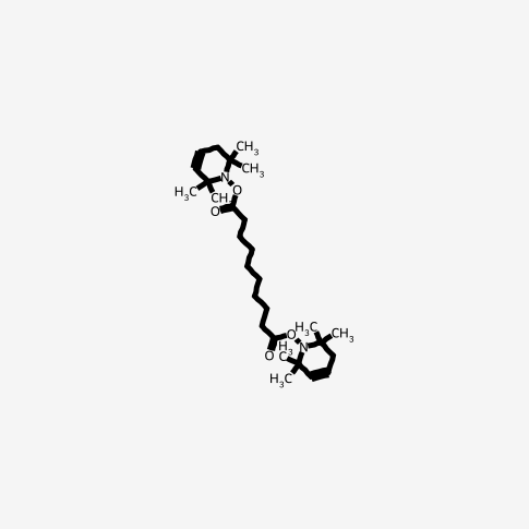 CC1(C)C#CCC(C)(C)N1OC(=O)CCCCCCCCC(=O)ON1C(C)(C)C#CCC1(C)C